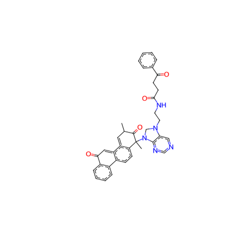 CC1C=c2c(ccc3c2=CC(=O)c2ccccc2-3)C(C)(N2CN(CCNC(=O)CCC(=O)c3ccccc3)c3cncnc32)C1=O